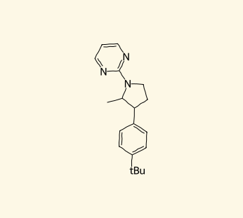 CC1C(c2ccc(C(C)(C)C)cc2)CCN1c1ncccn1